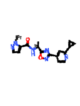 CC(C)n1nccc1C(=O)N[C@@H](C)c1nc(-c2ccnc(C3CC3)c2)no1